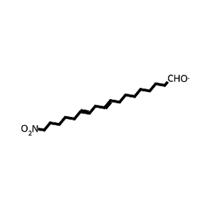 O=[C]CCCCCCCC=CCC=CCCCCC[N+](=O)[O-]